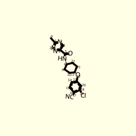 Cc1ncc(C(=O)N[C@H]2CC[C@H](Oc3ccc(C#N)c(Cl)c3)CC2)nn1